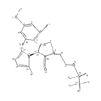 COc1cc(F)c([C@@H]2CN(CCO[Si](C)(C)C(C)(C)C)C(=O)[C@H]2n2c(C)ccc2C)c(F)c1